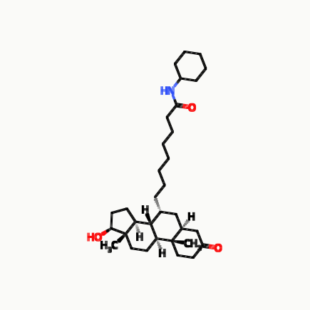 C[C@]12CCC(=O)C[C@@H]1C[C@@H](CCCCCCCC(=O)NC1CCCCC1)[C@@H]1[C@@H]2CC[C@]2(C)[C@@H](O)CC[C@@H]12